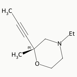 CC#C[C@]1(C)CN(CC)CCO1